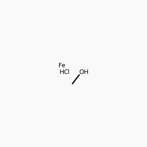 CO.Cl.[Fe]